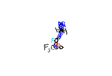 O=S1(=O)[C@H](c2ccccc2)CCC(C(F)(F)F)N1Cc1ccc(N2C[C@@H]3[C@H](C2)[C@H]3n2cnnc2)cc1F